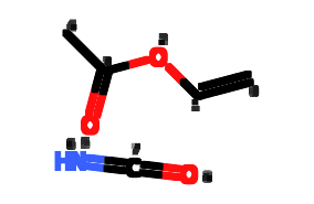 C=COC(C)=O.N=C=O